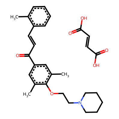 Cc1ccccc1/C=C/C(=O)c1cc(C)c(OCCN2CCCCC2)c(C)c1.O=C(O)/C=C/C(=O)O